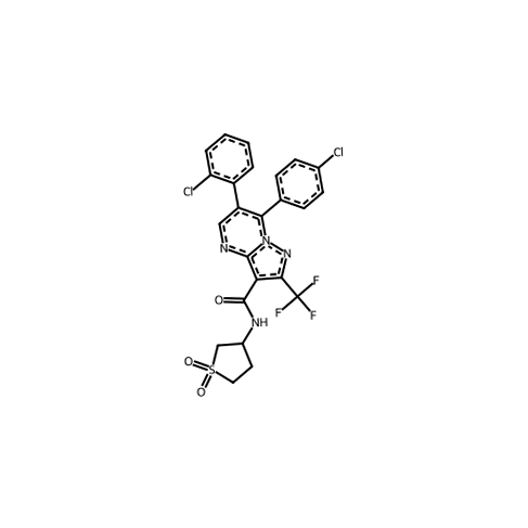 O=C(NC1CCS(=O)(=O)C1)c1c(C(F)(F)F)nn2c(-c3ccc(Cl)cc3)c(-c3ccccc3Cl)cnc12